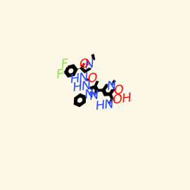 CCN1C[C@@H](NC(=O)Nc2c(C)c(-c3cc(C(O)NC)c(=O)n(C)c3)nn2-c2ccccc2)[C@H](c2ccc(F)c(F)c2)O1